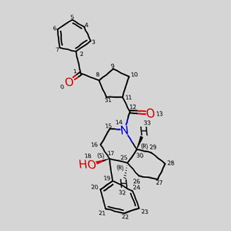 O=C(c1ccccc1)C1CCC(C(=O)N2CC[C@@](O)(c3ccccc3)[C@@H]3CCCC[C@H]32)C1